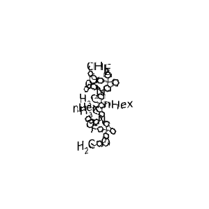 C=Cc1ccc(Oc2ccc(C3(c4ccc(F)cc4)c4ccccc4-c4ccc(N(c5ccc(-c6cc(CCCCCC)c(-c7ccc(N(c8ccc9c(c8)C(c8ccc(F)cc8)(c8ccc(Oc%10ccc(C=C)cc%10)cc8)c8ccccc8-9)c8ccc9oc%10ccccc%10c9c8)cc7C)cc6CCCCCC)c(C)c5)c5ccc6oc7ccccc7c6c5)cc43)cc2)cc1